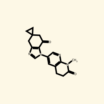 CN1C(=O)CCc2cc(-n3cnc4c3C(=O)CC3(CC3)C4)cnc21